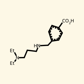 CCN(CC)CCCNCc1ccc(C(=O)O)cc1